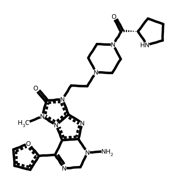 Cn1c(=O)n(CCN2CCN(C(=O)[C@@H]3CCCN3)CC2)c2nc3c(n21)C(c1ccco1)=NCN3N